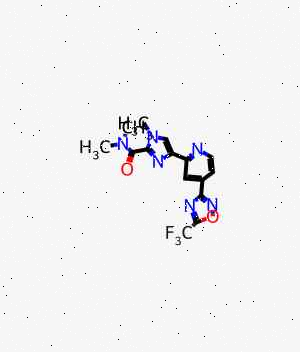 CN(C)C(=O)c1nc(-c2cc(-c3noc(C(F)(F)F)n3)ccn2)cn1C